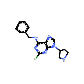 Clc1nc(NCc2ccccc2)c2ncn(C3CCNC3)c2n1